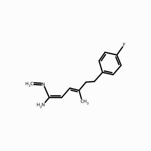 C=N/C(N)=C\C=C(/C)CCc1ccc(F)cc1